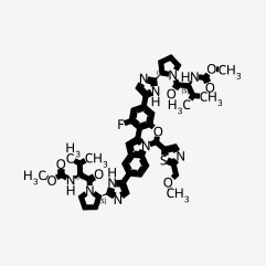 COCc1ncc(C2Oc3cc(-c4cnc([C@@H]5CCCN5C(=O)[C@@H](NC(=O)OC)C(C)C)[nH]4)cc(F)c3-c3cc4cc(-c5cnc([C@@H]6CCCN6C(=O)[C@@H](NC(=O)OC)C(C)C)[nH]5)ccc4n32)s1